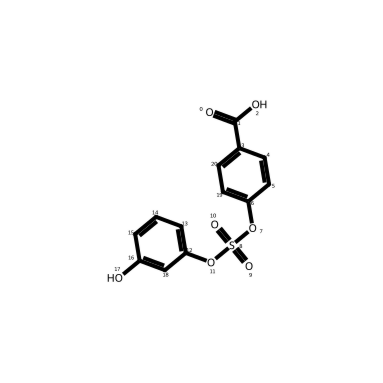 O=C(O)c1ccc(OS(=O)(=O)Oc2cccc(O)c2)cc1